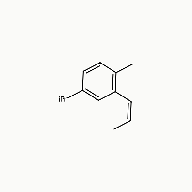 C/C=C\c1cc(C(C)C)ccc1C